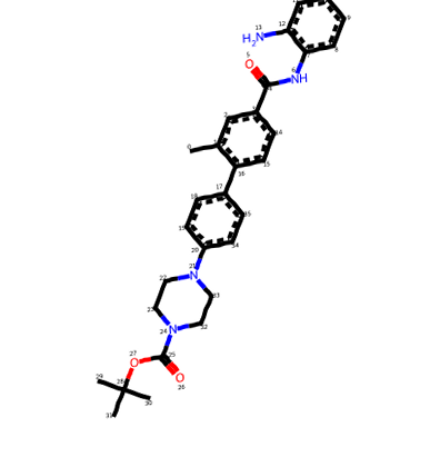 Cc1cc(C(=O)Nc2ccccc2N)ccc1-c1ccc(N2CCN(C(=O)OC(C)(C)C)CC2)cc1